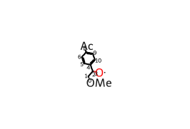 COCC([O])c1ccc(C(C)=O)cc1